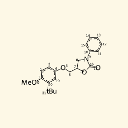 COc1ccc(OCC2CN(c3ccccc3)C(=O)O2)cc1C(C)(C)C